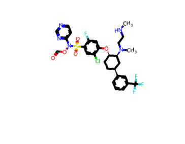 CNCCN(C)[C@H]1C[C@@H](c2cccc(C(F)(F)F)c2)CC[C@@H]1Oc1cc(F)c(S(=O)(=O)N(OC=O)c2ccncn2)cc1Cl